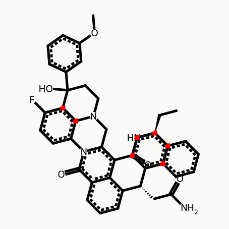 CC[C@H](NC(=O)c1c(CN2CCC(O)(c3cccc(OC)c3)CC2)n(-c2ccc(F)cc2)c(=O)c2cccc([C@@H](CC(N)=O)c3ccccc3)c12)c1ccccc1